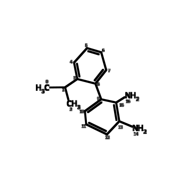 CC(C)c1ccccc1-c1cccc(N)c1N